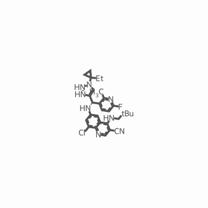 CCC1(N2C=C([C@@H](Nc3cc(Cl)c4ncc(C#N)c(NCC(C)(C)C)c4c3)c3ccc(F)nc3C)NN2)CC1